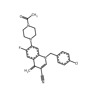 C=C1C(C#N)=CN(Cc2ccc(Cl)cc2)c2cc(N3CCN(C(C)=O)CC3)c(F)cc21